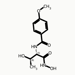 COc1ccc(C(=O)N[C@H](C(=O)NO)[C@@H](C)O)cc1